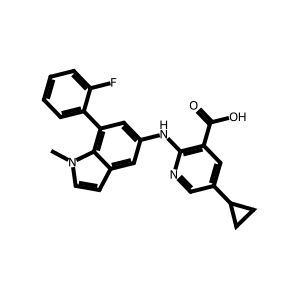 Cn1ccc2cc(Nc3ncc(C4CC4)cc3C(=O)O)cc(-c3ccccc3F)c21